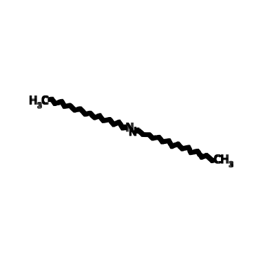 CCCCCCCCCCCCCCCCC=NN=CCCCCCCCCCCCCCCCC